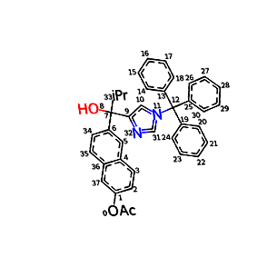 CC(=O)Oc1ccc2cc(C(O)(c3cn(C(c4ccccc4)(c4ccccc4)c4ccccc4)cn3)C(C)C)ccc2c1